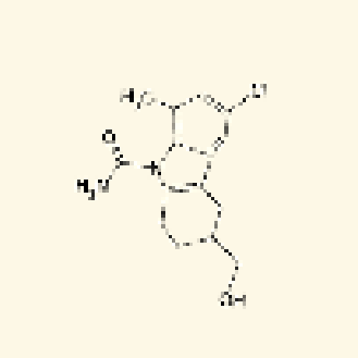 Cc1cc(Cl)cc2c3c(n(C(N)=O)c12)CC[C](CO)C3